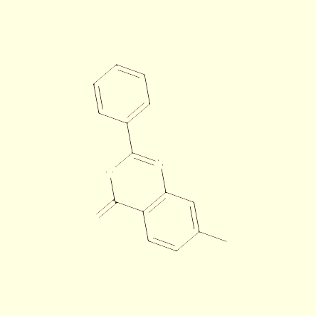 Cc1ccc2c(=O)oc(-c3ccccc3)nc2c1